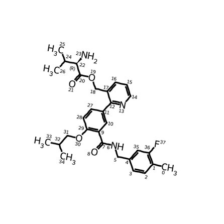 Cc1ccc(CNC(=O)c2cc(-c3ncccc3COC(=O)[C@H](N)C(C)C)ccc2OCC(C)C)cc1F